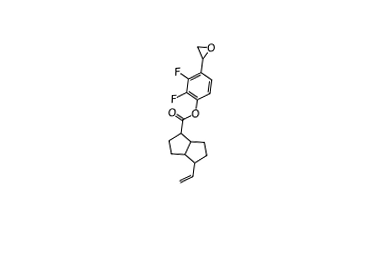 C=CC1CCC2C(C(=O)Oc3ccc(C4CO4)c(F)c3F)CCC12